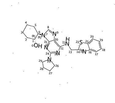 O[C@@H]1CCCC[C@H]1n1cnc2c(NCc3nc4ccccc4s3)nc(N3CCCC3)nc21